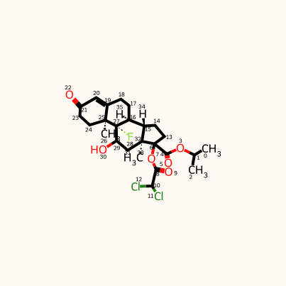 CC(C)OC(=O)C1(OC(=O)C(Cl)Cl)CC[C@H]2[C@@H]3CCC4=CC(=O)CC[C@]4(C)[C@]3(F)C(O)C[C@@]21C